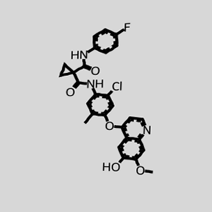 COc1cc2nccc(Oc3cc(Cl)c(NC(=O)C4(C(=O)Nc5ccc(F)cc5)CC4)cc3C)c2cc1O